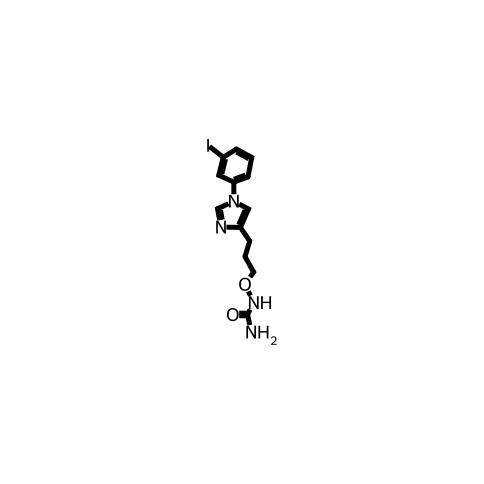 NC(=O)NOCCCc1cn(-c2cccc(I)c2)cn1